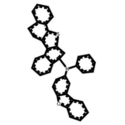 c1ccc(N(c2ccc3oc4ccccc4c3c2)c2cc3sc4c5ccccc5ccc4c3c3ccccc23)cc1